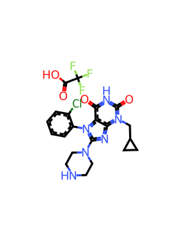 O=C(O)C(F)(F)F.O=c1[nH]c(=O)n(CC2CC2)c2nc(N3CCNCC3)n(-c3ccccc3Cl)c12